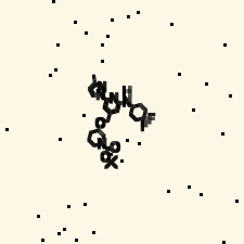 Cc1ccn(-c2cc(COC3CCCN(C(=O)OC(C)(C)C)C3)cc(NC3CCC(F)(F)CC3)n2)n1